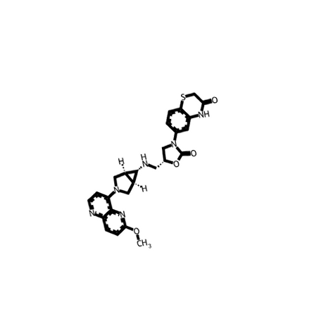 COc1ccc2nccc(N3C[C@@H]4[C@H](C3)[C@H]4NC[C@@H]3CN(c4ccc5c(c4)NC(=O)CS5)C(=O)O3)c2n1